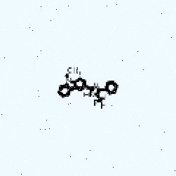 CCn1c2ccccc2c2cc(-c3nc(-c4ccccc4)c(C(F)(F)F)[nH]3)ccc21